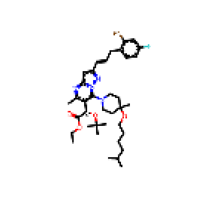 CCOC(=O)[C@@H](OC(C)(C)C)c1c(C)nc2cc(C=CCc3ccc(F)cc3Br)nn2c1N1CCC(C)(OCCCCC(C)C)CC1